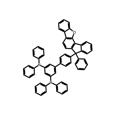 c1ccc(N(c2ccccc2)c2cc(-c3ccc(C4(c5ccccc5)c5ccccc5-c5c4ccc4c5oc5ccccc54)cc3)cc(N(c3ccccc3)c3ccccc3)c2)cc1